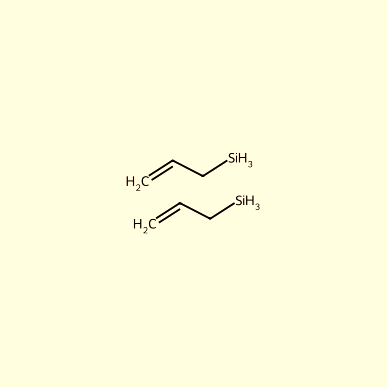 C=CC[SiH3].C=CC[SiH3]